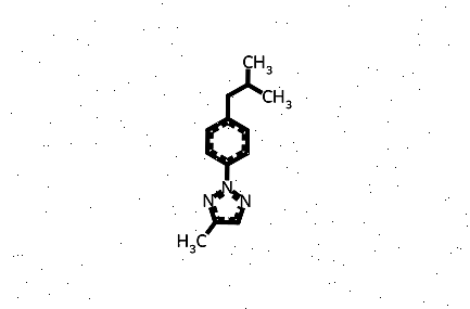 Cc1cnn(-c2ccc(CC(C)C)cc2)n1